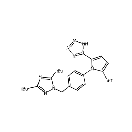 CCCCc1nc(C(C)CC)nn1Cc1ccc(-n2c(-c3nnn[nH]3)ccc2C(C)C)cc1